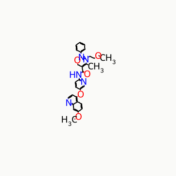 COCCN1C(C)=C(C(=O)Nc2ccc(Oc3ccnc4cc(OC)ccc34)cn2)CON1c1ccccc1